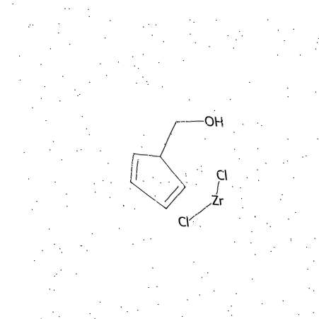 OCC1C=CC=C1.[Cl][Zr][Cl]